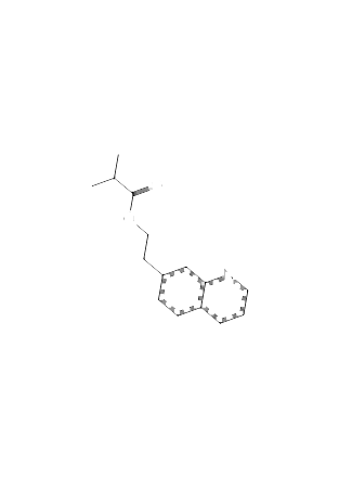 CC(C)C(=O)OCCc1ccc2cccnc2c1